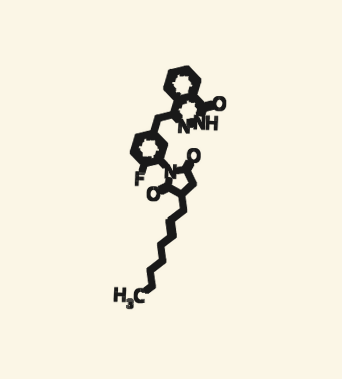 CCCCCC=CCC1CC(=O)N(c2cc(Cc3n[nH]c(=O)c4ccccc34)ccc2F)C1=O